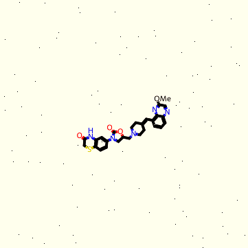 COc1cnc2cccc(C=C3CCN(CC4CN(c5ccc6c(c5)NC(=O)CS6)C(=O)O4)CC3)c2n1